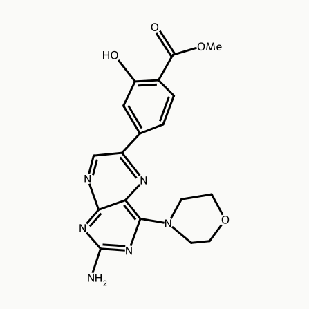 COC(=O)c1ccc(-c2cnc3nc(N)nc(N4CCOCC4)c3n2)cc1O